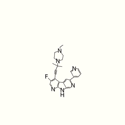 CCN1CCN(C(C)(C)C#Cc2c(F)cnc3[nH]c4cnc(-c5cccnc5)cc4c23)CC1